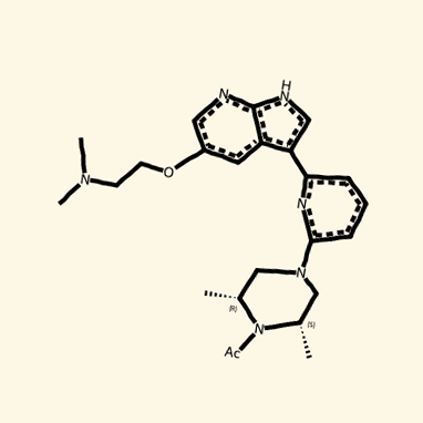 CC(=O)N1[C@H](C)CN(c2cccc(-c3c[nH]c4ncc(OCCN(C)C)cc34)n2)C[C@@H]1C